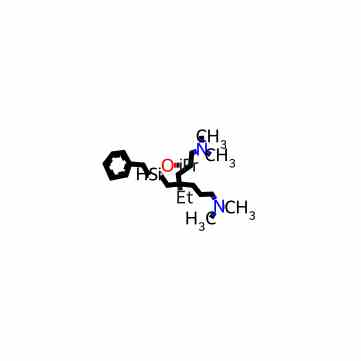 CCC(CCCN(C)C)(CCCN(C)C)C[SiH](CCc1ccccc1)OC(C)C